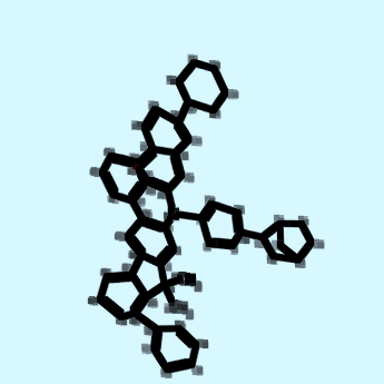 CC1(C)c2cc(N(c3ccc(C4CC5CCC4C5)cc3)c3ccc4ccc(C5CCCCC5)cc4c3)c(-c3ccccc3)cc2-c2cccc(-c3ccccc3)c21